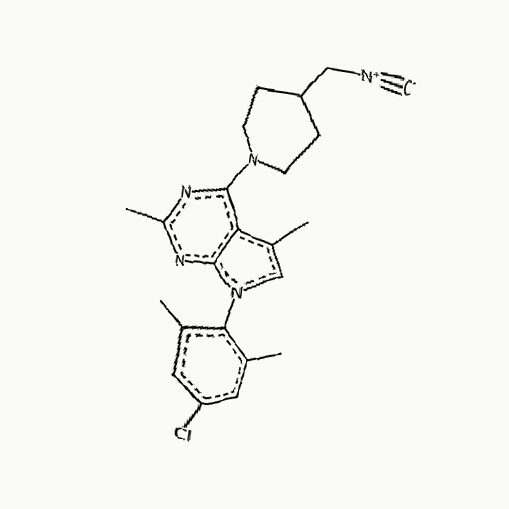 [C-]#[N+]CC1CCN(c2nc(C)nc3c2c(C)cn3-c2c(C)cc(Cl)cc2C)CC1